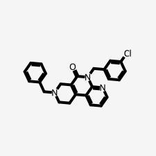 O=c1c2c(c3cccnc3n1Cc1cccc(Cl)c1)CCN(Cc1ccccc1)C2